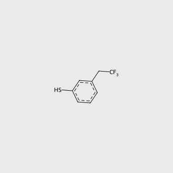 FC(F)(F)Cc1cccc(S)c1